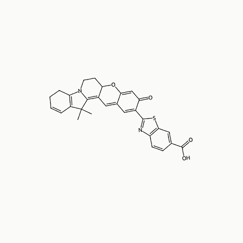 CC1(C)C2=C(CCC=C2)N2CCC3OC4=CC(=O)C(c5nc6ccc(C(=O)O)cc6s5)=CC4=CC3=C21